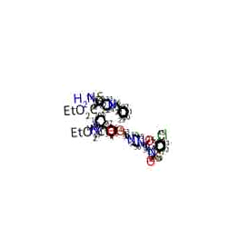 CCOC(=O)[C@]1(c2ccccc2)CCC=C[C@H]1N(C)C.CCOC(=O)c1c(N)sc2c1CCN(Cc1ccccc1)C2.O=C(Cn1c(=O)sc2ccc(Cl)cc21)N1CCN(CCO)CC1